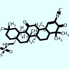 [C-]#[N+]C1=C[C@@]2(C)C(CC[C@]3(C)C2CC(=O)[C@@H]2[C@@H]4CC(C)(C)CC[C@]4(CNS(C)(=O)=O)CC[C@]23C)C(C)(C)C1=O